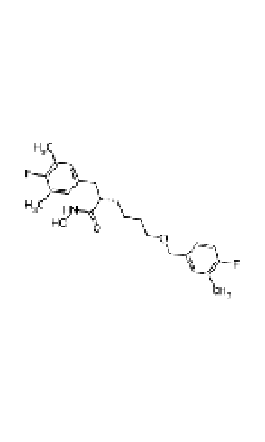 Cc1cc(COCCCC[C@@H](Cc2cc(C)c(F)c(C)c2)C(=O)NO)ccc1F